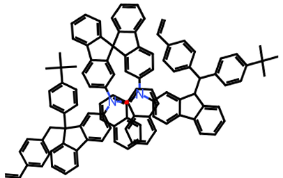 C=Cc1ccc(CC2(c3ccc(C(C)(C)C)cc3)c3ccccc3-c3ccc(N(c4ccc5c(c4)C4(c6ccccc6-c6ccc(N(c7ccc8c(c7)C(C(c7ccc(C=C)cc7)c7ccc(C(C)(C)C)cc7)c7ccccc7-8)c7cccc8ccccc78)cc64)c4ccccc4-5)c4cccc5ccccc45)cc32)cc1